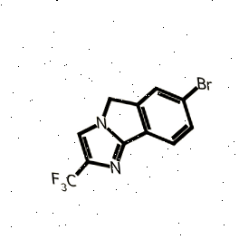 FC(F)(F)c1cn2c(n1)-c1ccc(Br)cc1C2